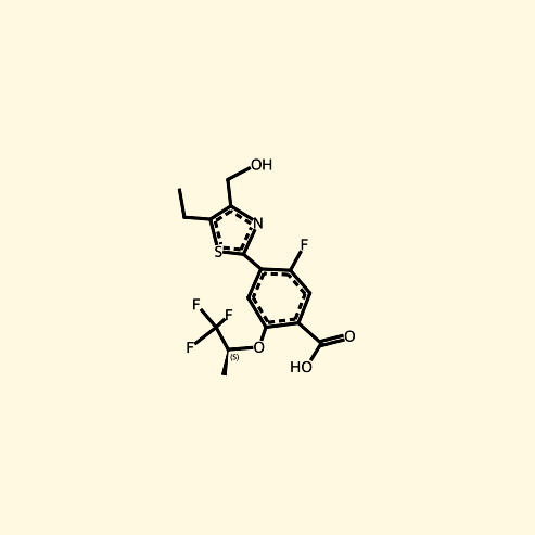 CCc1sc(-c2cc(O[C@@H](C)C(F)(F)F)c(C(=O)O)cc2F)nc1CO